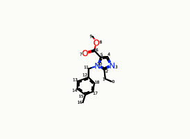 CCc1ncc(C(=O)OC)n1Cc1ccc(C)cc1